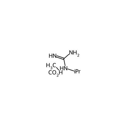 CC(=O)O.CC(C)NC(=N)N